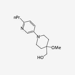 CCCc1ccc(N2CCC(CO)(OC)CC2)cn1